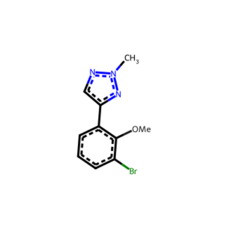 COc1c(Br)cccc1-c1cnn(C)n1